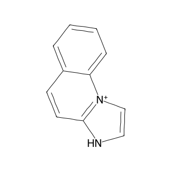 c1ccc2c(c1)ccc1[nH]cc[n+]12